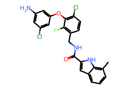 Cc1cccc2cc(C(=O)NCc3ccc(Cl)c(Oc4cc(N)cc(Cl)c4)c3F)[nH]c12